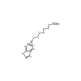 CCCCCCCCCCCCCCCCCC1c2cc3c(cc21)C=C[CH]3